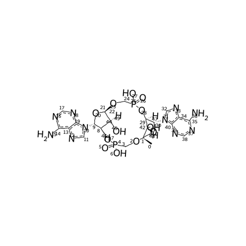 C[C@]12OCP(=O)(O)O[C@H]3[C@H](n4cnc5c(N)ncnc54)O[C@](C)(OCP(=O)(O)O[C@@H]([C@H](n4cnc5c(N)ncnc54)O1)[C@@H]2O)[C@H]3O